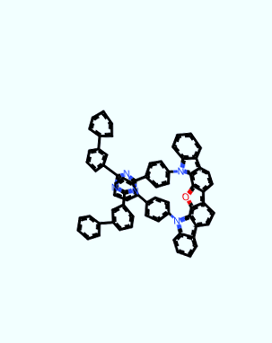 c1ccc(-c2ccc(-n3c4ccccc4c4ccc5c6ccc7c8ccccc8n(-c8ccc(-c9nc(-c%10cccc(-c%11ccccc%11)c%10)nc(-c%10cccc(-c%11ccccc%11)c%10)n9)cc8)c7c6oc5c43)cc2)cc1